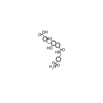 NS(=O)(=O)c1ccc(CNC(=O)c2ccc3cc(O)c(Cc4ccc(C(=O)O)cc4)c(O)c3c2)cc1